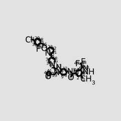 Cc1cc(C(=O)Nc2ccc3c(c2)nc(CN2CC=C(c4cccc(OCc5ccc(Cl)cc5F)n4)CC2)n3C[C@@H]2CCO2)cc2c(C(F)F)n[nH]c12